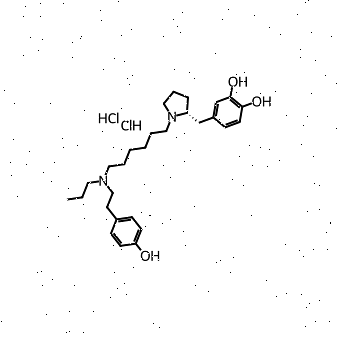 CCCN(CCCCCCN1CCC[C@@H]1Cc1ccc(O)c(O)c1)CCc1ccc(O)cc1.Cl.Cl